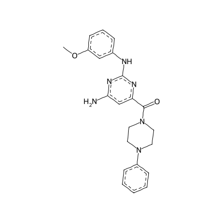 COc1cccc(Nc2nc(N)cc(C(=O)N3CCN(c4ccccc4)CC3)n2)c1